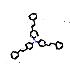 C(=C\c1ccc(N(c2ccc(/C=C/c3ccccc3)cc2)c2ccc(/C=C/c3ccccc3)cc2)cc1)/c1ccccc1